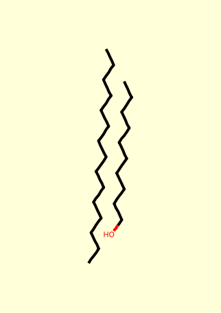 CCCCCCCCCCCCCCC.CCCCCCCCCCO